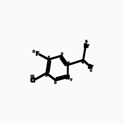 Fc1cc(C(Br)Br)ncc1Cl